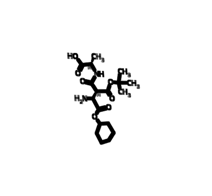 C[C@H](NC(=O)[C@@H](C(=O)OC(C)(C)C)C(N)C(=O)OC1CCCCC1)C(=O)O